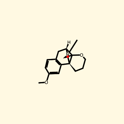 COc1ccc2c(c1)[C@@]13CCCOC1(C)[C@@H](C2)N(C)CC3